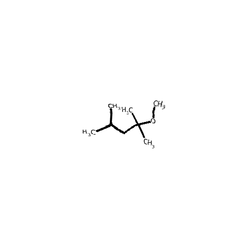 COC(C)(C)CC(C)C